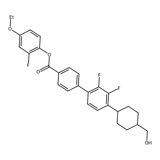 CCOc1ccc(OC(=O)c2ccc(-c3ccc(C4CCC(CO)CC4)c(F)c3F)cc2)c(F)c1